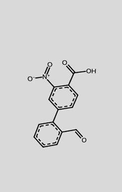 O=Cc1ccccc1-c1ccc(C(=O)O)c([N+](=O)[O-])c1